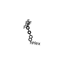 CCCCCCC1CCC2CC(c3ccc(-c4ccc(OC(F)(F)C(F)F)c(F)c4)cc3)CCC2C1